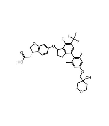 Cc1cc(OCC2(O)CCOCC2)cc(C)c1-c1cc(C(F)(F)F)c(F)c2c1CC[C@H]2Oc1ccc2c(c1)OC[C@H]2CC(=O)O